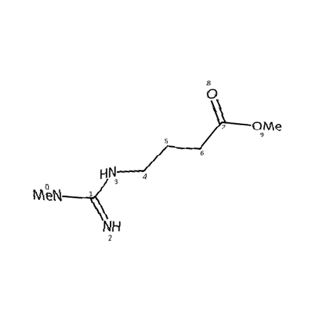 CNC(=N)NCCCC(=O)OC